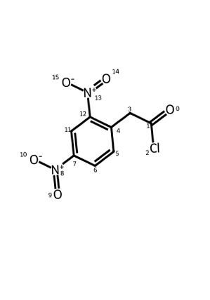 O=C(Cl)Cc1ccc([N+](=O)[O-])cc1[N+](=O)[O-]